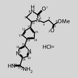 COC(=O)CCN1C(=O)NCC1c1ccc(-c2cnc(C(=N)N)cn2)cc1.Cl